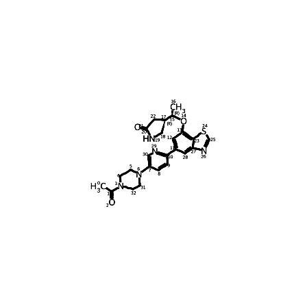 CC(=O)N1CCN(c2ccc(-c3cc(O[C@H](C)[C@H]4CNC(=O)C4)c4scnc4c3)nc2)CC1